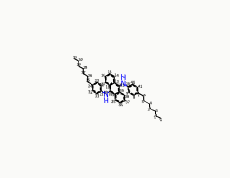 CCCCCCCc1ccc(Nc2c3ccccc3c(Nc3ccc(CCCCCCC)cc3)c3ccccc23)cc1